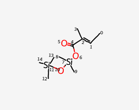 C/C=C(\C)C(=O)O[Si](C)(C)O[Si](C)(C)C